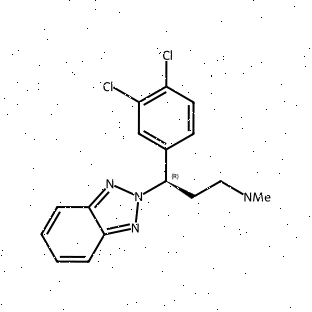 CNCC[C@H](c1ccc(Cl)c(Cl)c1)n1nc2ccccc2n1